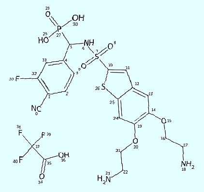 N#Cc1ccc(C(NS(=O)(=O)c2cc3cc(OCCN)c(OCCN)cc3s2)P(=O)(O)O)cc1F.O=C(O)C(F)(F)F